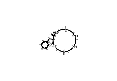 O=C1NCCNCCNCCNCCNCCNC(=O)C1Cc1ccccc1